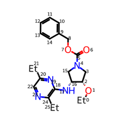 CCO[C@H]1CN(C(=O)OCc2ccccc2)C[C@H]1Nc1nc(CC)cnc1CC